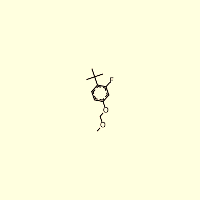 COCOc1ccc(C(C)(C)C)c(F)c1